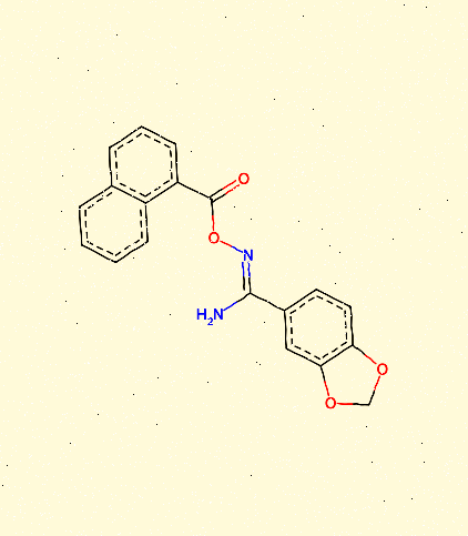 N/C(=N\OC(=O)c1cccc2ccccc12)c1ccc2c(c1)OCO2